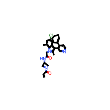 C=CC(=O)N1CC(NC(=O)Cn2c(C)c(-c3cnccc3C3=CCCCC3)c3cc(Cl)cc(C)c32)C1